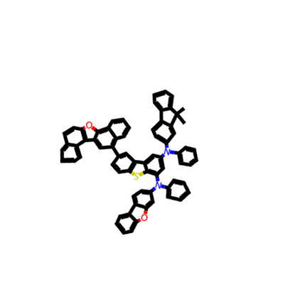 CC1(C)c2ccccc2-c2ccc(N(c3ccccc3)c3cc(N(c4ccccc4)c4ccc5c(c4)oc4ccccc45)c4sc5ccc(-c6cc7c(oc8ccc9ccccc9c87)c7ccccc67)cc5c4c3)cc21